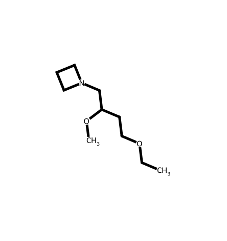 CCOCCC(CN1CCC1)OC